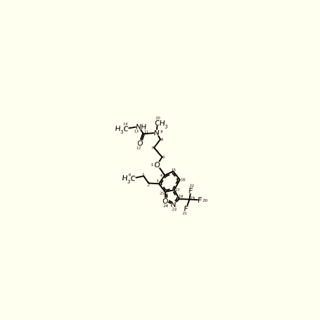 CCCc1c(OCCCN(C)C(=O)NC)ccc2c(C(F)(F)F)noc12